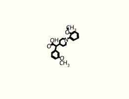 COc1cccc(C(C(=O)O)C2CCN(c3ccccc3OC)CC2)c1